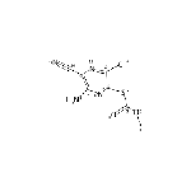 COC(=O)Sc1nc(N)c(C#N)nc1Cl